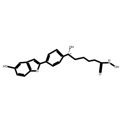 O=C(CCCC[C@@H](O)c1ccc(-c2cc3cc(O)ccc3o2)cc1)NO